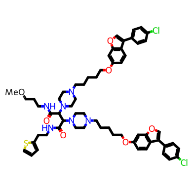 COCCCNC(=O)C(C(C(=O)NCCc1cccs1)N1CCN(CCCCCOc2ccc3c(-c4ccc(Cl)cc4)coc3c2)CC1)N1CCN(CCCCCOc2ccc3c(-c4ccc(Cl)cc4)coc3c2)CC1